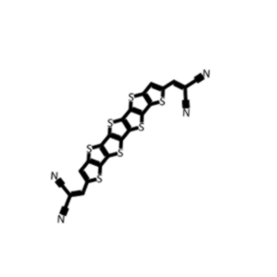 N#CC(C#N)=Cc1cc2sc3c(sc4c3sc3c5sc6cc(C=C(C#N)C#N)sc6c5sc34)c2s1